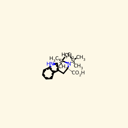 C[Si](C)(C)N([C@@H](Cc1c[nH]c2ccccc12)C(=O)O)[Si](C)(C)C